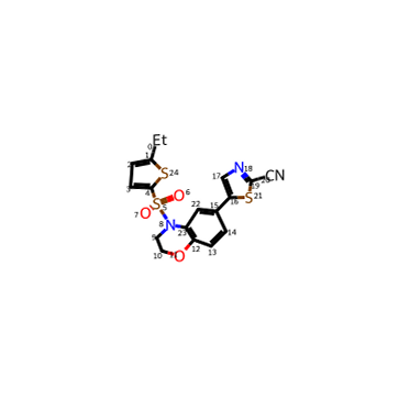 CCc1ccc(S(=O)(=O)N2CCOc3ccc(-c4cnc(C#N)s4)cc32)s1